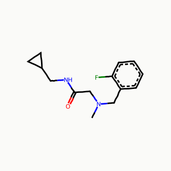 CN(CC(=O)NCC1CC1)Cc1ccccc1F